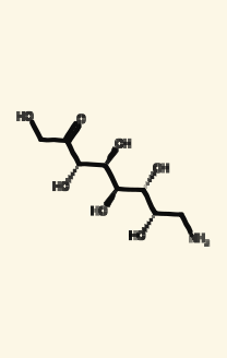 NC[C@H](O)[C@@H](O)[C@@H](O)[C@H](O)[C@H](O)C(=O)CO